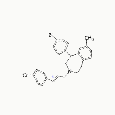 Cc1ccc2c(c1)C(c1ccc(Br)cc1)CN(C/C=C/c1ccc(Cl)cc1)CC2